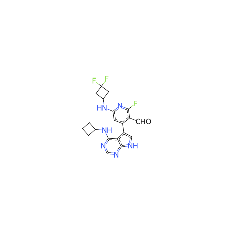 O=Cc1c(-c2c[nH]c3ncnc(NC4CCC4)c23)cc(NC2CC(F)(F)C2)nc1F